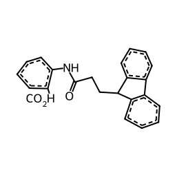 O=C(CCC1c2ccccc2-c2ccccc21)Nc1ccccc1C(=O)O